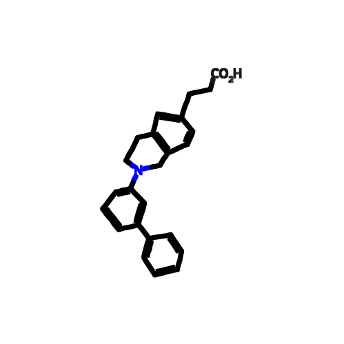 O=C(O)CCc1ccc2c(c1)CCN(c1cccc(-c3ccccc3)c1)C2